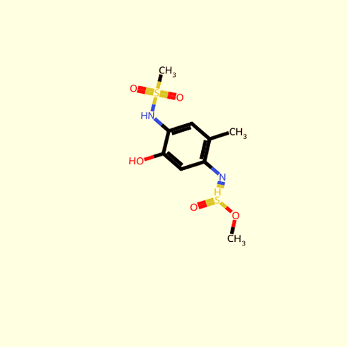 CO[SH](=O)=Nc1cc(O)c(NS(C)(=O)=O)cc1C